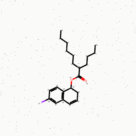 CCCCCCC(CCCC)C(=O)OC1CC=Cc2cc(I)ccc21